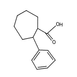 O=C(O)C1CCCCCC1c1ccccc1